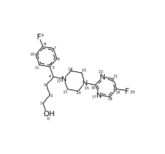 OCCCC(c1ccc(F)cc1)N1CCN(c2ncc(F)cn2)CC1